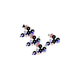 CCS(=O)(=O)c1cccc(-c2cc(C(=O)NC3CCN(C)CC3)c(C)c3[nH]c4ncc(Cl)cc4c23)c1.CCS(=O)(=O)c1cccc(-c2cc(C(=O)NC3CCN(C)CC3)c(C)c3[nH]c4ncc(F)cc4c23)c1.CCS(=O)(=O)c1cccc(-c2cc(C(=O)NC3CCN(C)CC3)c(C)c3[nH]c4ncccc4c23)c1.Cc1c(C(=O)NC2CCN(C)CC2)cc(-c2cccc(S(=O)(=O)C3CC3)c2)c2c1[nH]c1ncccc12